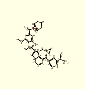 COc1cc(C(=O)N2CC3CCC2[C@@H]3C)cc2nc(-c3cc4cccc(Nc5ccnc(C(N)=O)n5)c4n3CC3CC3)n(C)c12